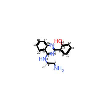 C[C@@H](CN)Nc1nc(-c2ccccc2O)nc2ccccc12